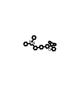 c1ccc(-c2cc(-c3cccc(-c4ccc(-c5ccc6c(c5)Oc5ccccc5C65c6ccccc6-c6ccccc65)cc4)c3)nc(-c3ccccc3)n2)cc1